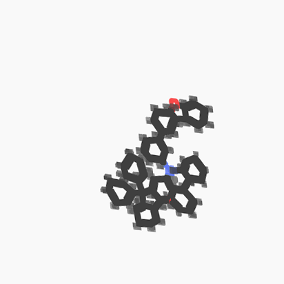 c1ccc(-c2ccccc2N(c2cccc(-c3ccc4oc5ccccc5c4c3)c2)c2ccc3c(c2)C(c2ccccc2)(c2ccccc2)c2ccccc2-3)cc1